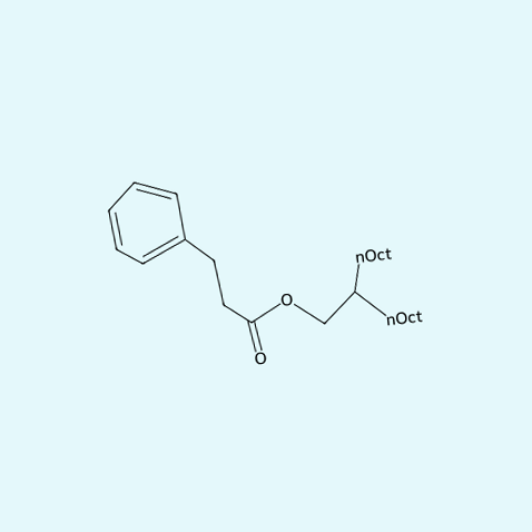 CCCCCCCCC(CCCCCCCC)COC(=O)CCc1ccccc1